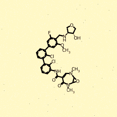 COc1cc(-c2cccc(-c3cccc(NC(=O)C4=CN(C)C5OC5N(C)C4=O)c3Cl)c2Cl)cc(F)c1CN[C@H]1COC[C@@H]1O